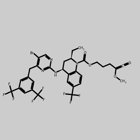 CC[C@@H]1C[C@H](Nc2ncc(Br)c(Cc3cc(C(F)(F)F)cc(C(F)(F)F)c3)n2)c2cc(C(F)(F)F)ccc2N1C(=O)OCCCC(=C=O)OC